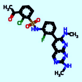 CNc1ncc2cc(-c3cccc(NS(=O)(=O)c4cccc(C(C)=O)c4Cl)c3F)c(NC)nc2n1